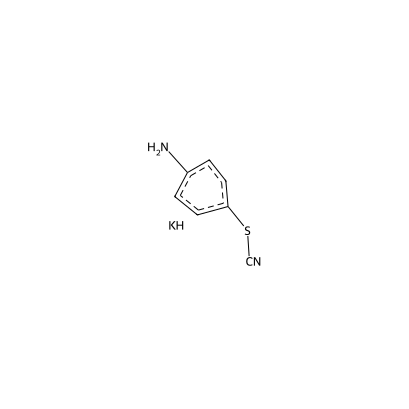 N#CSc1ccc(N)cc1.[KH]